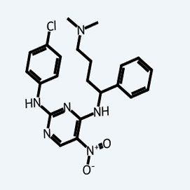 CN(C)CCCC(Nc1nc(Nc2ccc(Cl)cc2)ncc1[N+](=O)[O-])c1ccccc1